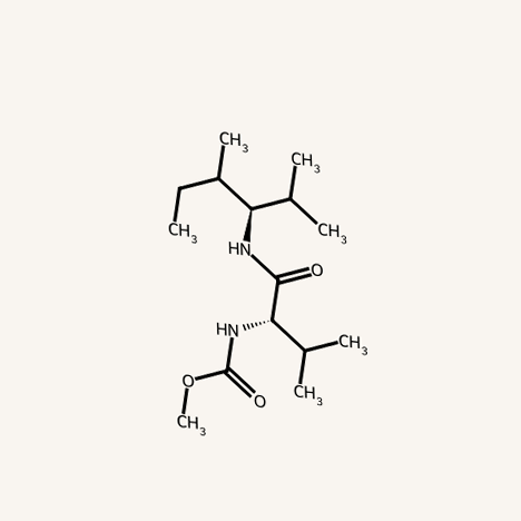 CCC(C)[C@H](NC(=O)[C@@H](NC(=O)OC)C(C)C)C(C)C